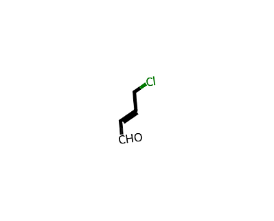 O=C/C=C/CCl